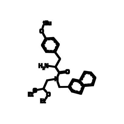 CCOC(CN(Cc1ccc2ccccc2c1)C(=O)C(N)Cc1ccc(OC(C)(C)C)cc1)OCC